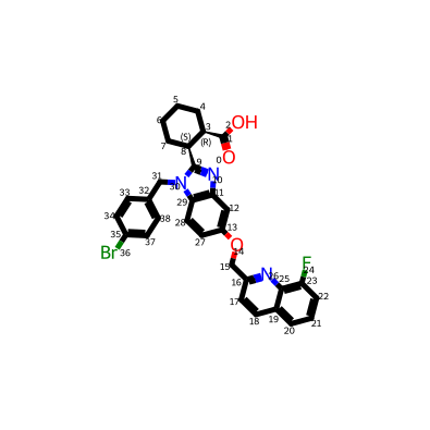 O=C(O)[C@@H]1CCCC[C@@H]1c1nc2cc(OCc3ccc4cccc(F)c4n3)ccc2n1Cc1ccc(Br)cc1